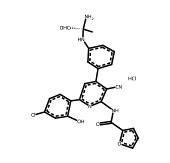 C[C@@](N)(C=O)Nc1cccc(-c2cc(-c3ccc(Cl)cc3O)nc(NC(=O)c3ccco3)c2C#N)c1.Cl